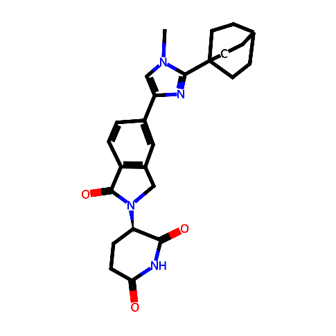 Cn1cc(-c2ccc3c(c2)CN([C@@H]2CCC(=O)NC2=O)C3=O)nc1C12CCC(CC1)CC2